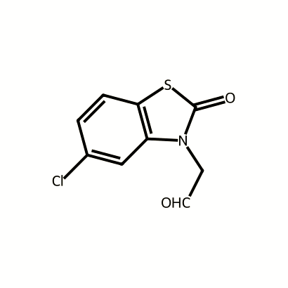 O=CCn1c(=O)sc2ccc(Cl)cc21